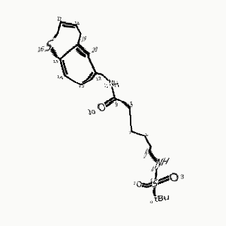 CC(C)(C)S(=O)(=O)NCCCCC(=O)Nc1ccc2sccc2c1